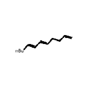 C=CCCC=CC=CCCCC